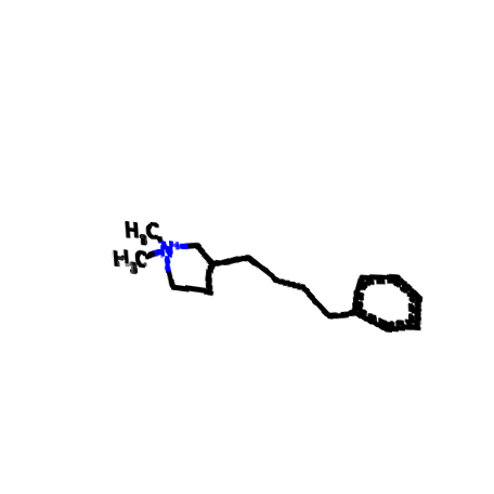 C[N+]1(C)CCC(CCCCc2ccccc2)C1